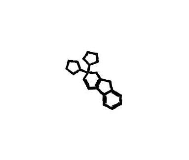 C1=CC(C2CCCC2)(C2CCCC2)CC2=C1c1ccccc1C2